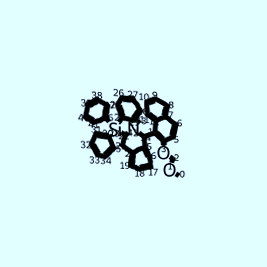 COCOc1ccc2ccccc2c1C1c2ccccc2CC([Si](c2ccccc2)(c2ccccc2)c2ccccc2)N1C